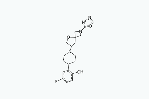 Oc1ccc(F)cc1C1CCN(C2COC3(C2)CN(c2nnco2)C3)CC1